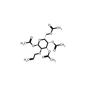 C=CCO[C@H]1[C@@H](OC(C)=O)O[C@H](COC(C)=O)[C@H](OC(C)=O)[C@@H]1OC(C)=O